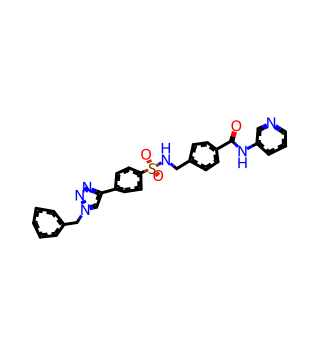 O=C(Nc1cccnc1)c1ccc(CNS(=O)(=O)c2ccc(-c3cn(Cc4ccccc4)nn3)cc2)cc1